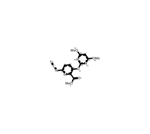 COC(=O)c1nc(N=C=S)ccc1Oc1nc(OC)cc(OC)n1